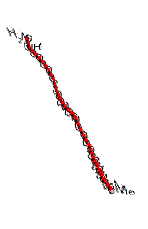 COCCOCCOCCOCCOCCOCCOCCOCCOCCOCCOCCOCCOCCOCCOCCOCCOCCOCCOCCOCCOCCOCCOCCOCCNC(=O)CCC(N)=O